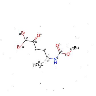 CC(C)(C)OC(=O)N[C@@H](CCC(=O)C(Br)Br)C(=O)O